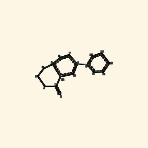 O=C1CCCc2ccc(-c3ccccc3)cc21